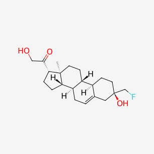 C[C@]12CC[C@H]3[C@@H](CC=C4C[C@@](O)(CF)CC[C@@H]43)[C@@H]1CC[C@@H]2C(=O)CO